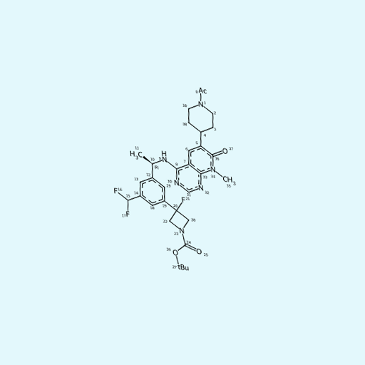 CC(=O)N1CCC(c2cc3c(N[C@H](C)c4cc(C(F)F)cc(C5(F)CN(C(=O)OC(C)(C)C)C5)c4)ncnc3n(C)c2=O)CC1